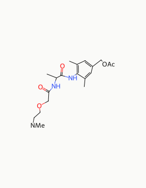 CNCCOCC(=O)NC(C)C(=O)Nc1c(C)cc(COC(C)=O)cc1C